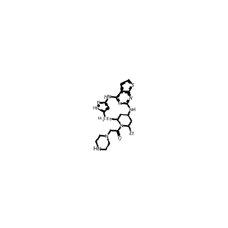 CCC1CC(Nc2nc(Nc3cc(C)[nH]n3)c3ccsc3n2)CC(CC)N1C(=O)CN1CCNCC1